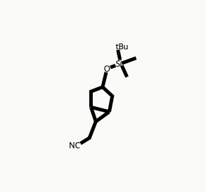 CC(C)(C)[Si](C)(C)OC1CC2C(CC#N)C2C1